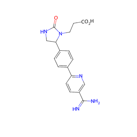 N=C(N)c1ccc(-c2ccc(C3CNC(=O)N3CCC(=O)O)cc2)nc1